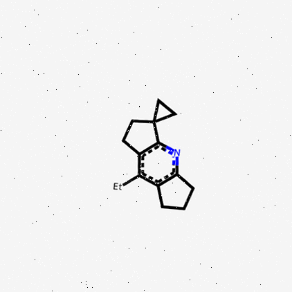 CCc1c2c(nc3c1CCC31CC1)CCC2